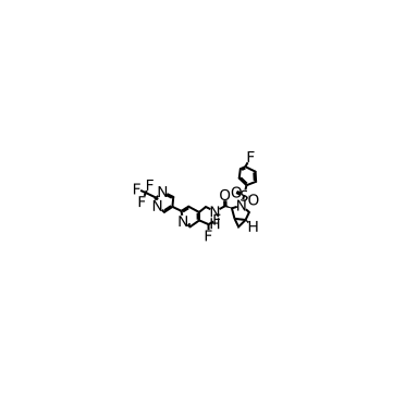 O=C(NCc1cc(-c2cnc(C(F)(F)F)nc2)ncc1C(F)F)[C@@H]1C2C[C@H]2CN1S(=O)(=O)c1ccc(F)cc1